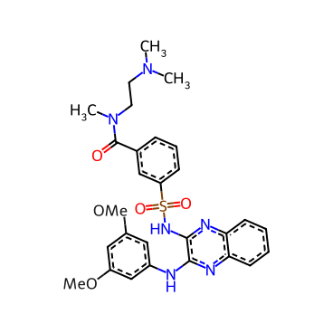 COc1cc(Nc2nc3ccccc3nc2NS(=O)(=O)c2cccc(C(=O)N(C)CCN(C)C)c2)cc(OC)c1